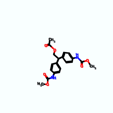 COC(=O)Nc1ccc(C(COC(C)=O)c2ccc(NC(=O)OC)cc2)cc1